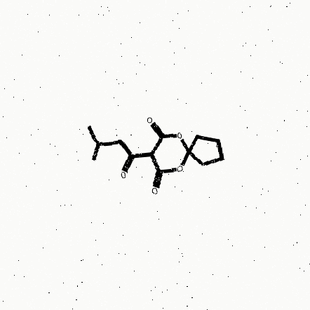 CC(C)CC(=O)C1C(=O)OC2(CCCC2)OC1=O